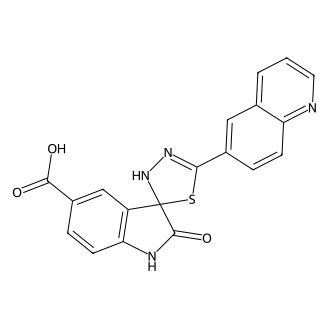 O=C(O)c1ccc2c(c1)C1(NN=C(c3ccc4ncccc4c3)S1)C(=O)N2